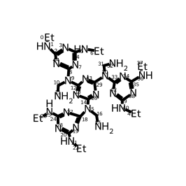 CCNc1nc(NCC)nc(N(CN)c2nc(N(CN)c3nc(NCC)nc(NCC)n3)nc(N(CN)c3nc(NCC)nc(NCC)n3)n2)n1